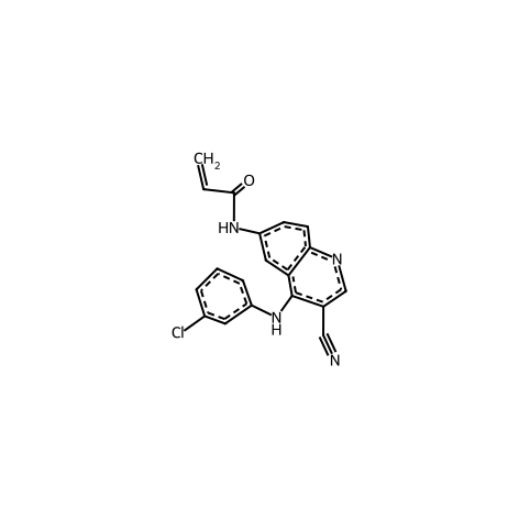 C=CC(=O)Nc1ccc2ncc(C#N)c(Nc3cccc(Cl)c3)c2c1